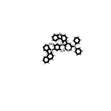 N#Cc1cc(-n2c3ccccc3c3c4ccccc4ccc32)c(C#N)cc1-n1c2c(c3ccc4sc5ccccc5c4c31)C=C(N(c1ccccc1)c1ccccc1)CSC2